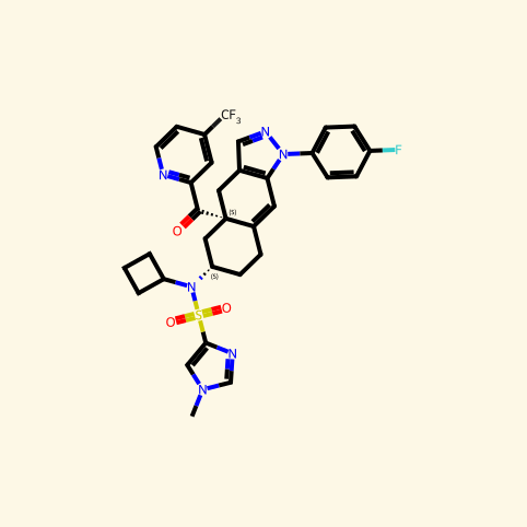 Cn1cnc(S(=O)(=O)N(C2CCC2)[C@H]2CCC3=Cc4c(cnn4-c4ccc(F)cc4)C[C@]3(C(=O)c3cc(C(F)(F)F)ccn3)C2)c1